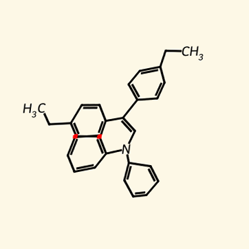 CCc1ccc(C(=CN(c2ccccc2)c2ccccc2)c2ccc(CC)cc2)cc1